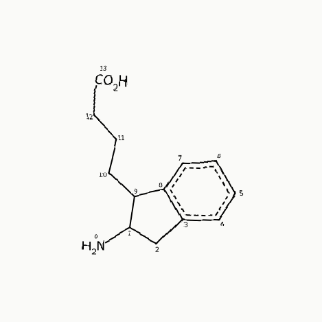 NC1Cc2ccccc2C1CCCC(=O)O